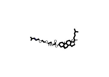 CC(C)/C=C/COCCOCCNC(=O)O[C@H]1CC[C@@]2(C)C(=CCC3C2CC[C@@]2(C)C3CC[C@@H]2[C@H](C)CCCC(C)C)C1